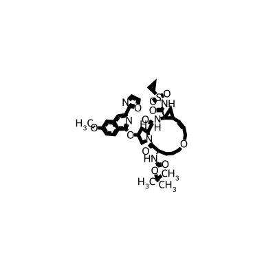 COc1ccc2c(OC3C[C@H]4C(=O)N[C@]5(C(=O)NS(=O)(=O)C6CC6)CC5/C=C\COCCC[C@H](NC(=O)OC(C)(C)C)C(=O)N4C3)nc(-c3ncco3)cc2c1